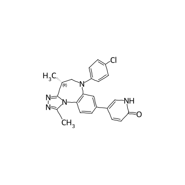 Cc1nnc2n1-c1ccc(-c3ccc(=O)[nH]c3)cc1N(c1ccc(Cl)cc1)C[C@H]2C